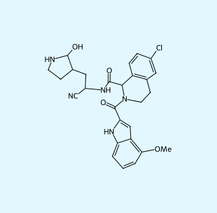 COc1cccc2[nH]c(C(=O)N3CCc4cc(Cl)ccc4C3C(=O)NC(C#N)CC3CCNC3O)cc12